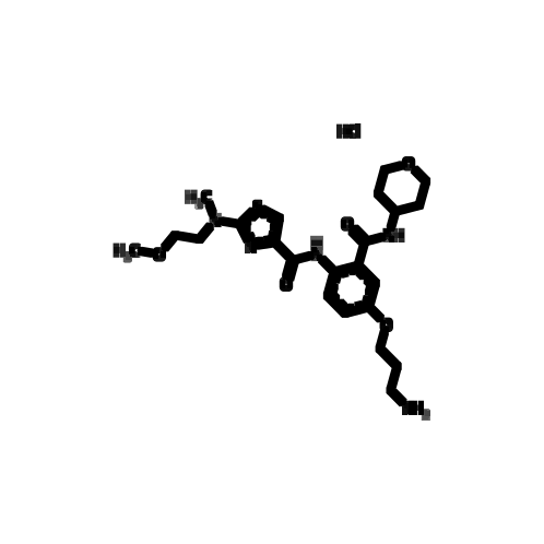 COCCN(C)c1nc(C(=O)Nc2ccc(OCCCN)cc2C(=O)NC2CCOCC2)cs1.Cl